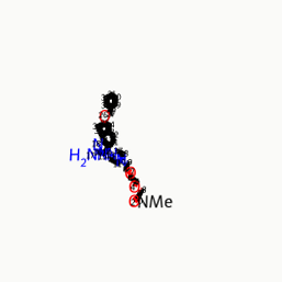 CNC(=O)COCCOCCN1CCN(c2nc(N)nc3c2CCc2cc(OCc4ccccc4)ccc2-3)CC1